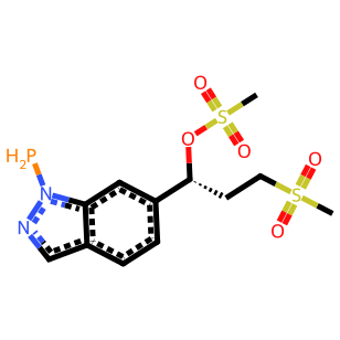 CS(=O)(=O)CC[C@@H](OS(C)(=O)=O)c1ccc2cnn(P)c2c1